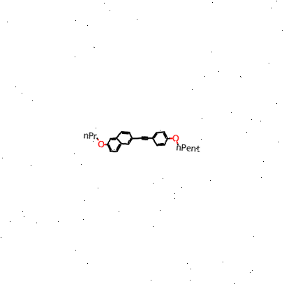 CCCCCOc1ccc(C#Cc2ccc3cc(OCCC)ccc3c2)cc1